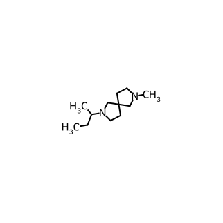 CCC(C)N1CCC2(CCN(C)C2)C1